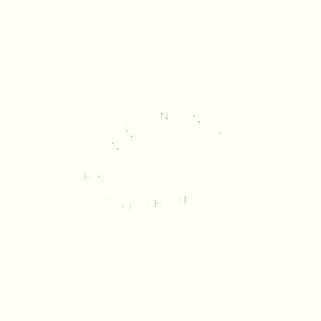 CCC1c2c(n[nH]c2-c2cc(C(F)(F)F)ncn2)C(C)(C)C1(C)C